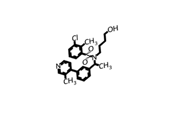 Cc1cnccc1-c1cccc(C(C)N(CCCCO)S(=O)(=O)c2cccc(Cl)c2C)c1